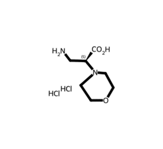 Cl.Cl.NC[C@@H](C(=O)O)N1CCOCC1